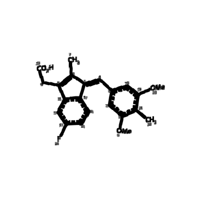 COc1cc(/C=C2/C(C)=C(CC(=O)O)c3cc(F)ccc32)cc(OC)c1C